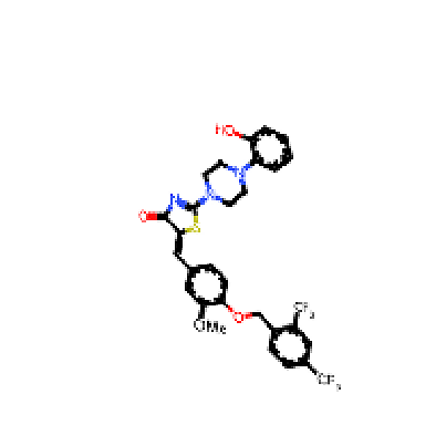 COc1cc(/C=C2\SC(N3CCN(c4ccccc4O)CC3)=NC2=O)ccc1OCc1ccc(C(F)(F)F)cc1C(F)(F)F